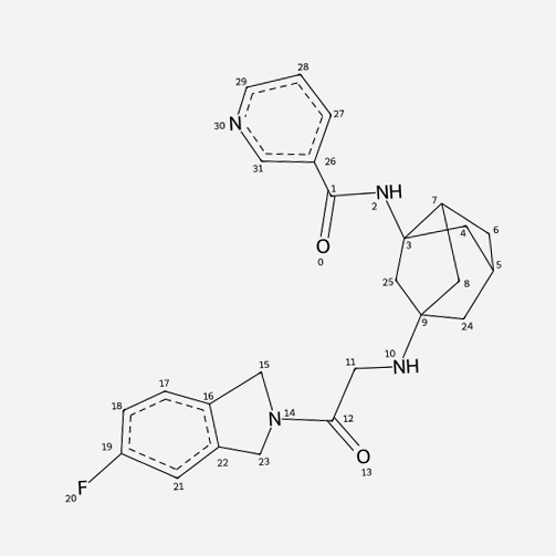 O=C(NC12CC3CC1CC(NCC(=O)N1Cc4ccc(F)cc4C1)(C3)C2)c1cccnc1